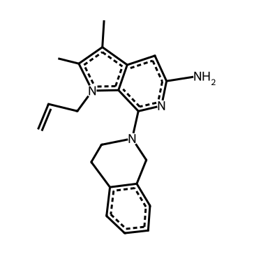 C=CCn1c(C)c(C)c2cc(N)nc(N3CCc4ccccc4C3)c21